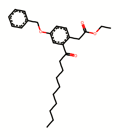 CCCCCCCCCC(=O)c1cc(OCc2ccccc2)ccc1CC(=O)OCC